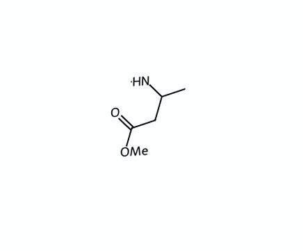 COC(=O)CC(C)[NH]